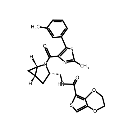 Cc1cccc(-c2sc(C)nc2C(=O)N2[C@H](CNC(=O)c3scc4c3OCCO4)C[C@@H]3C[C@@H]32)c1